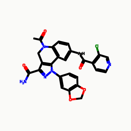 CC(=O)N1Cc2c(C(N)=O)nn(-c3ccc4c(c3)OCO4)c2-c2cc([AsH]C(=O)c3ccncc3Cl)ccc21